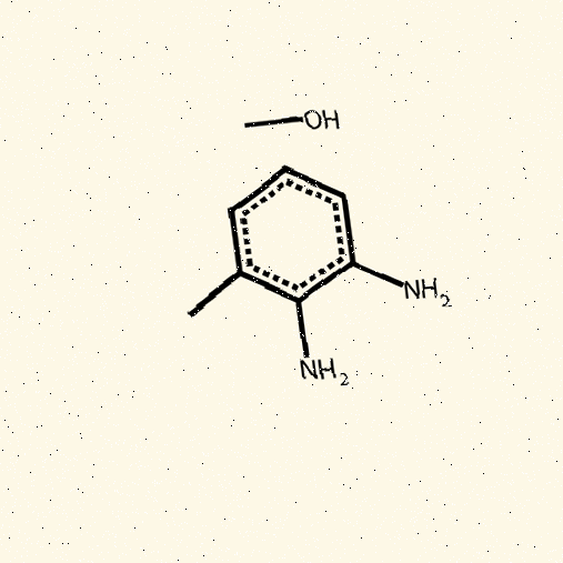 CO.Cc1cccc(N)c1N